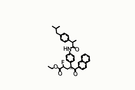 CCOC(=O)C(F)C[C@H](C(=O)c1ccc2ccccc2c1)c1ccc(NC(=O)C(C)c2ccc(CC(C)C)cc2)cc1